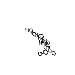 O=C(NS(=O)(=O)c1cccc(N2CC[C@H](O)C2)n1)C1(Oc2cc(Cl)ccc2OC2CCCC2)CC1